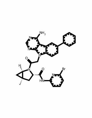 C[C@@]12C[C@@H](C(=O)Nc3cccc(Br)n3)N(C(=O)Cn3c4ccc(-c5ccccc5)cc4c4c(N)ncnc43)[C@@H]1C2